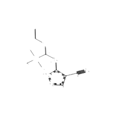 CCOC(Nc1n[nH]cc1C#N)[Si](C)(C)C